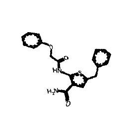 NC(=O)c1cc(Cc2ccccc2)sc1NC(=O)COc1ccccc1